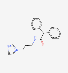 O=C(NCCCn1ccnc1)C(c1ccccc1)c1ccccc1